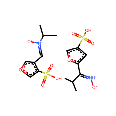 CC(C)C(=[NH+][O-])c1cc(S(=O)(=O)O)co1.CC(C)[N+]([O-])=Cc1cocc1S(=O)(=O)O